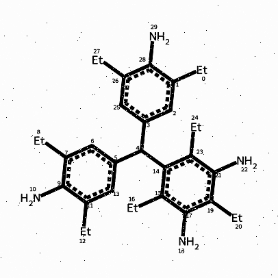 CCc1cc(C(c2cc(CC)c(N)c(CC)c2)c2c(CC)c(N)c(CC)c(N)c2CC)cc(CC)c1N